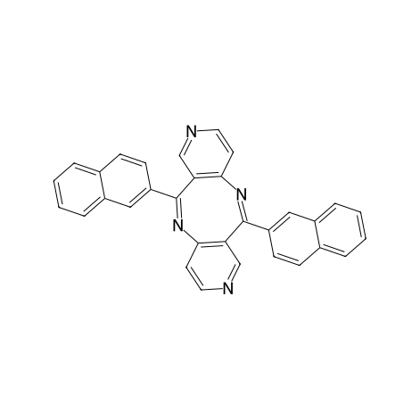 c1ccc2cc(/C3=N/c4ccncc4/C(c4ccc5ccccc5c4)=N\c4ccncc43)ccc2c1